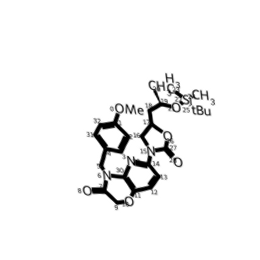 COc1ccc(CN2C(=O)COc3ccc(N4CC(C[C@@H](C)O[Si](C)(C)C(C)(C)C)OC4=O)nc32)cc1